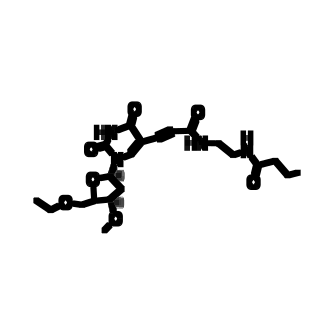 CCCC(=O)NCCNC(=O)C#Cc1cn([C@H]2C[C@@H](OC)C(COCC)O2)c(=O)[nH]c1=O